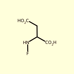 O=C(O)CC(NF)C(=O)O